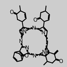 C=C1C(=O)CC(C)c2c1c1cc3nc(nc4[nH]c(cc4C4C=CC(C)C(=O)C4)nc4nc(nc2[nH]1)C1=C4C2C=CC1C(=O)C2)C(C1C=CC(C)CC1=O)=C3